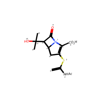 C=C(NC(C)=O)SC1=C(C(=O)O)N2C(=O)C(C(C)(C)O)C2C1